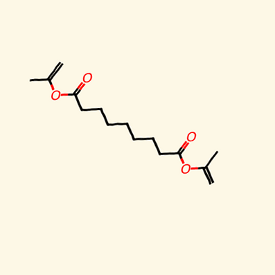 C=C(C)OC(=O)CCCCCCCC(=O)OC(=C)C